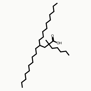 CCCCCCCCCCC(CCCCCCCCCC)CC(C)(CCCCC)C(=O)O